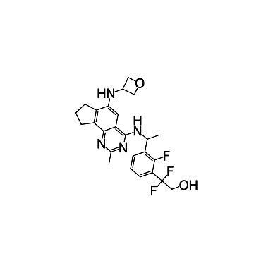 Cc1nc(NC(C)c2cccc(C(F)(F)CO)c2F)c2cc(NC3COC3)c3c(c2n1)CCC3